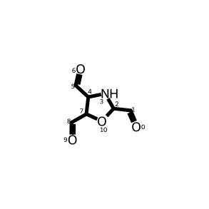 O=CC1NC(C=O)C(C=O)O1